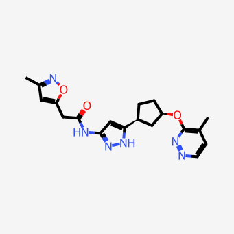 Cc1cc(CC(=O)Nc2cc([C@H]3CC[C@@H](Oc4nnccc4C)C3)[nH]n2)on1